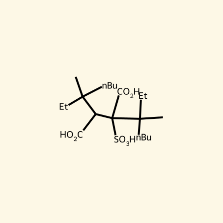 CCCCC(C)(CC)C(C(=O)O)C(C(=O)O)(C(C)(CC)CCCC)S(=O)(=O)O